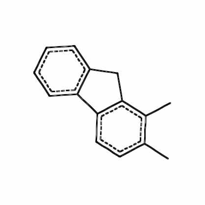 Cc1ccc2c(c1C)Cc1ccccc1-2